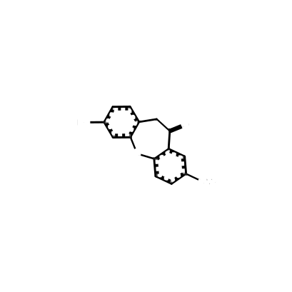 CSc1ccc2c(c1)C(=O)Cc1ccc(C)cc1S2